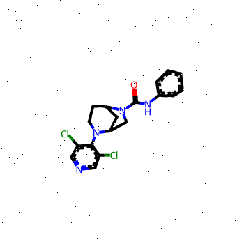 O=C(Nc1ccccc1)N1CC2CC1CCN2c1c(Cl)cncc1Cl